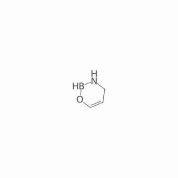 B1NCC=CO1